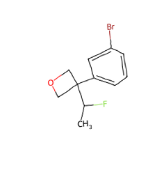 CC(F)C1(c2cccc(Br)c2)COC1